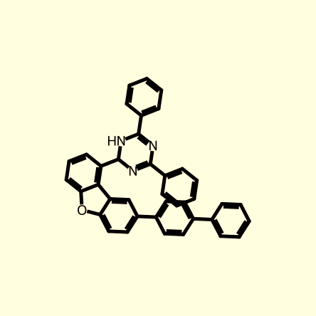 c1ccc(C2=NC(c3cccc4oc5ccc(-c6ccc(-c7ccccc7)cc6)cc5c34)NC(c3ccccc3)=N2)cc1